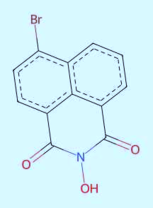 O=C1c2cccc3c(Br)ccc(c23)C(=O)N1O